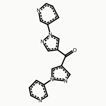 O=C(c1cnn(-c2cccnc2)c1)c1cnn(-c2cccnc2)c1